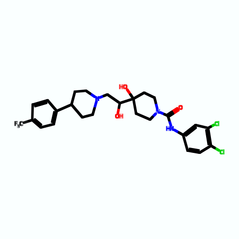 O=C(Nc1ccc(Cl)c(Cl)c1)N1CCC(O)(C(O)CN2CCC(c3ccc(C(F)(F)F)cc3)CC2)CC1